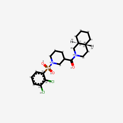 O=C(C1CCCN(S(=O)(=O)c2cccc(Cl)c2Cl)C1)N1CC[C@H]2CCCC[C@@H]2C1